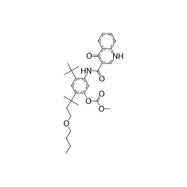 CCCCOCCC(C)(C)c1cc(C(C)(C)C)c(NC(=O)c2c[nH]c3ccccc3c2=O)cc1OC(=O)OC